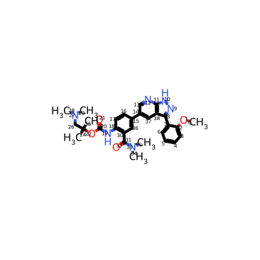 COc1ccccc1-c1n[nH]c2ncc(-c3ccc(NC(=O)OC(C)(C)CN(C)C)c(C(=O)N(C)C)c3)cc12